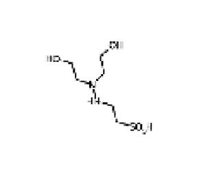 O=S(=O)(O)CCNN(CCO)CCO